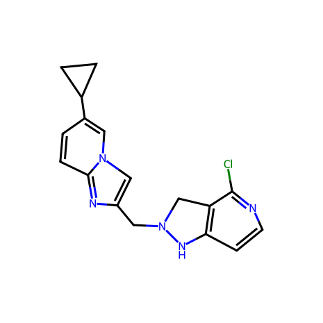 Clc1nccc2c1CN(Cc1cn3cc(C4CC4)ccc3n1)N2